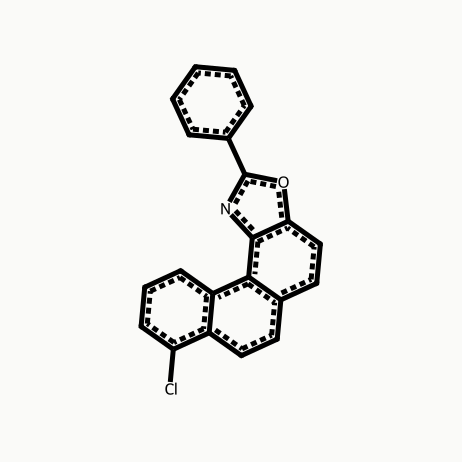 Clc1cccc2c1ccc1ccc3oc(-c4ccccc4)nc3c12